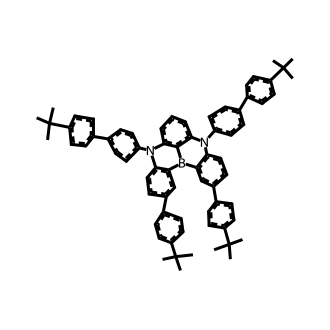 CC(C)(C)c1ccc(-c2ccc(N3c4ccc(-c5ccc(C(C)(C)C)cc5)cc4B4c5cc(-c6ccc(C(C)(C)C)cc6)ccc5N(c5ccc(-c6ccc(C(C)(C)C)cc6)cc5)c5cccc3c54)cc2)cc1